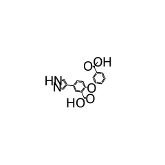 O=C(O)c1cccc(Oc2ccc(-c3cn[nH]c3)cc2C(=O)O)c1